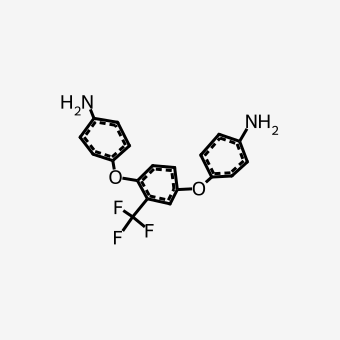 Nc1ccc(Oc2ccc(Oc3ccc(N)cc3)c(C(F)(F)F)c2)cc1